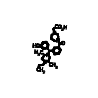 C=CCN1C[C@H](C)N([C@@H](c2cccc(O)c2)c2cccc(C(=O)N3CCCN(CC(=O)O)CC3)c2)C[C@H]1C